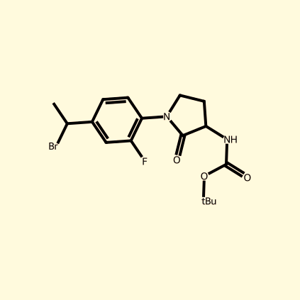 CC(Br)c1ccc(N2CCC(NC(=O)OC(C)(C)C)C2=O)c(F)c1